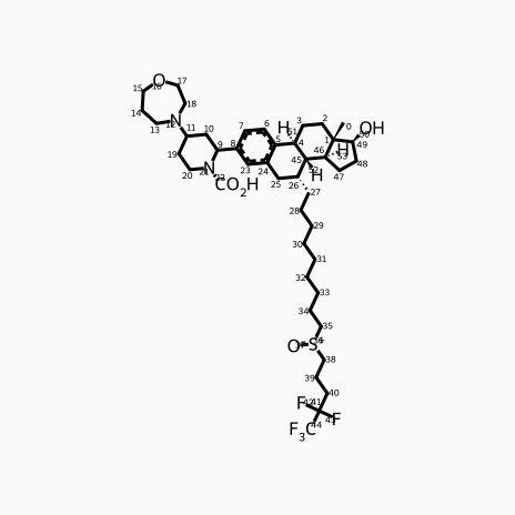 C[C@]12CC[C@@H]3c4ccc(C5CC(N6CCCOCC6)CCN5C(=O)O)cc4C[C@@H](CCCCCCCCC[S+]([O-])CCCC(F)(F)C(F)(F)F)[C@H]3[C@@H]1CC[C@@H]2O